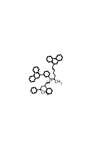 C=C(CC(/C=C/N(C(=C)CC/C=C/c1cc2ccccc2c2ccccc12)c1cccc(-c2cc3ccccc3c3ccccc23)c1)c1ccccc1)c1ccccc1